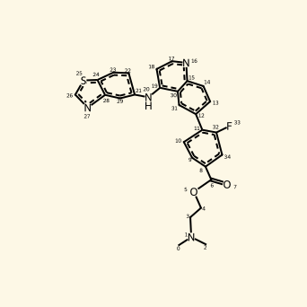 CN(C)CCOC(=O)c1ccc(-c2ccc3nccc(Nc4ccc5scnc5c4)c3c2)c(F)c1